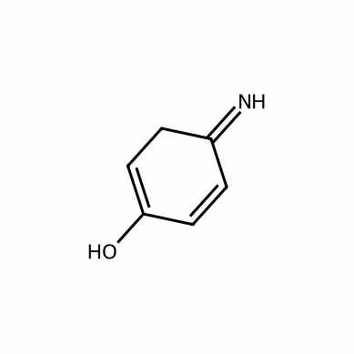 N=C1C=CC(O)=CC1